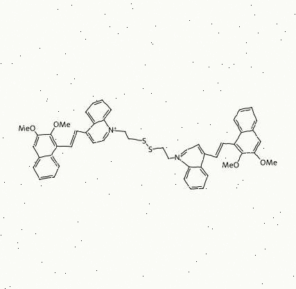 COc1cc2ccccc2c(/C=C/c2cc[n+](CCSSCC[n+]3ccc(/C=C/c4c(OC)c(OC)cc5ccccc45)c4ccccc43)c3ccccc23)c1OC